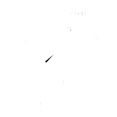 O=C(O)N1C[C@H](c2c(F)ccc(F)c2F)CC1=O